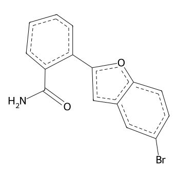 NC(=O)c1ccccc1-c1cc2cc(Br)ccc2o1